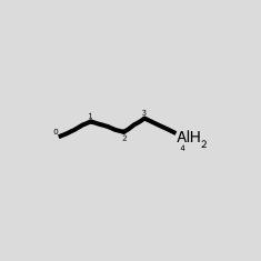 CCC[CH2][AlH2]